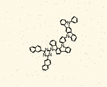 c1ccc(-n2c3ccccc3c3cc4c(cc32)c2ccccc2n4-c2cccc(-n3c4ccccc4c4ccc5c(c6ccccc6n5-c5nc(-c6ccc7ccccc7c6)nc(-c6ccc7ccccc7c6)n5)c43)c2)cc1